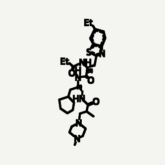 CCC(=O)N[C@@H](Cc1nc2ccc(CC)cc2s1)C(=O)N[C@H](CNC(=O)C(C)CN1CCN(C)CC1)CC1CCCCC1